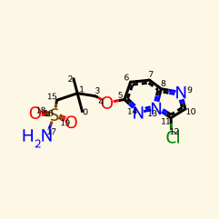 CC(C)(COc1ccc2ncc(Cl)n2n1)CS(N)(=O)=O